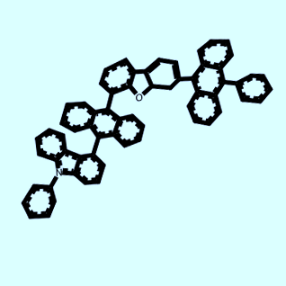 C1=C(c2c3ccccc3c(-c3ccccc3)c3ccccc23)CC2Oc3c(cccc3-c3c4ccccc4c(-c4cccc5c4c4ccccc4n5-c4ccccc4)c4ccccc34)C2=C1